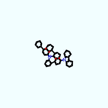 c1ccc(-c2ccc(N(c3ccccc3-c3ccccc3)c3ccccc3-c3ccc(-n4c5ccccc5c5ccccc54)cc3)cc2)cc1